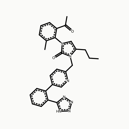 CCCc1cn(-c2c(C)cccc2C(C)=O)c(=O)n1Cc1ccc(-c2ccccc2-c2nnn[nH]2)cn1